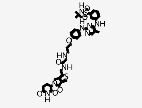 Cc1cnc(Nc2ccc(OCCCNCC(=O)NCc3scc4c3CN(C3CCC(=O)NC3=O)C4=O)cc2)nc1Nc1cccc(S(=O)(=O)NC(C)(C)C)c1